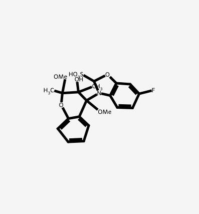 COC1(C)Oc2ccccc2C(OC)(N2c3ccc(F)cc3OC2S(=O)(=O)O)C1(C)O